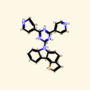 c1ccc2c(c1)c1c3sccc3ccc1n2-c1nc(-c2ccncc2)nc(-c2ccncc2)n1